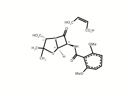 COc1cccc(OC)c1C(=O)N[C@@H]1C(=O)N2[C@@H]1SC(C)(C)[C@@H]2C(=O)O.O=C(O)/C=C\C(=O)O